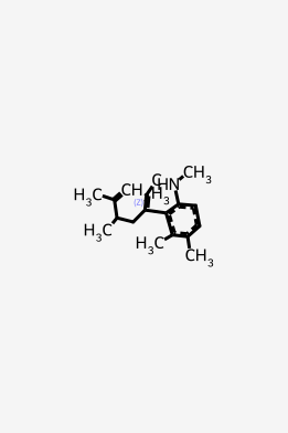 C=C(C)C(C)C/C(=C/C)c1c(NC)ccc(C)c1C